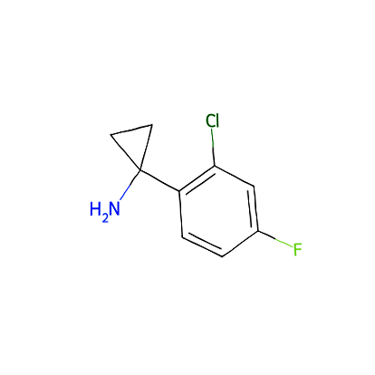 NC1(c2ccc(F)cc2Cl)CC1